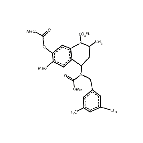 CCOC(=O)N1c2cc(OC(=O)OC)c(OC)cc2C(N(Cc2cc(C(F)(F)F)cc(C(F)(F)F)c2)C(=O)OC)CC1C